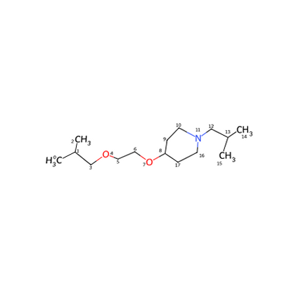 CC(C)COCCOC1CCN(CC(C)C)CC1